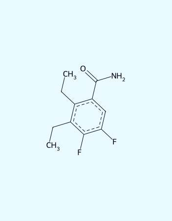 CCc1c(C(N)=O)cc(F)c(F)c1CC